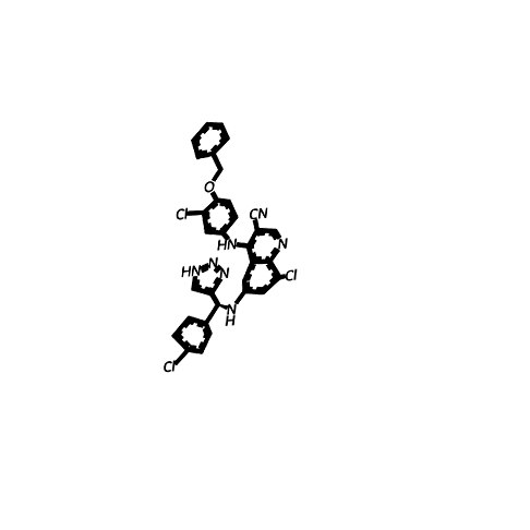 N#Cc1cnc2c(Cl)cc(N[C@@H](c3ccc(Cl)cc3)c3c[nH]nn3)cc2c1Nc1ccc(OCc2ccccc2)c(Cl)c1